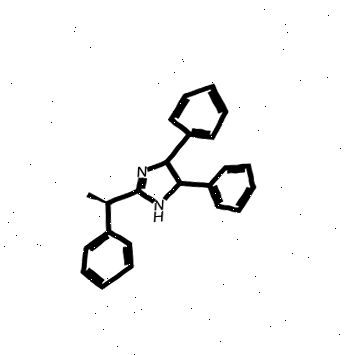 C[C@@H](C1=NC(c2ccccc2)C(c2ccccc2)N1)c1ccccc1